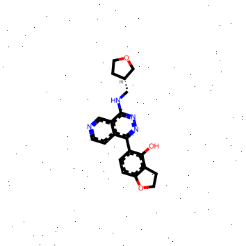 Oc1c(-c2nnc(NC[C@@H]3CCOC3)c3cnccc23)ccc2c1CCO2